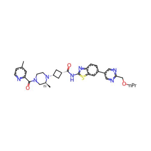 CCCOCc1ncc(-c2ccc3nc(NC(=O)[C@H]4C[C@@H](N5CCN(C(=O)c6cc(C)ccn6)C[C@@H]5C)C4)sc3c2)cn1